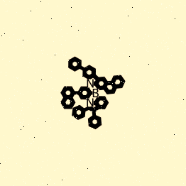 c1ccc(-c2ccc3c4cc5c(ccc6ccccc65)c5c4n(c3c2)-c2cc(-c3cccc4ccccc34)cc3c2B5c2cccc4c(-c5ccccc5)c(-c5ccccc5)n-3c24)cc1